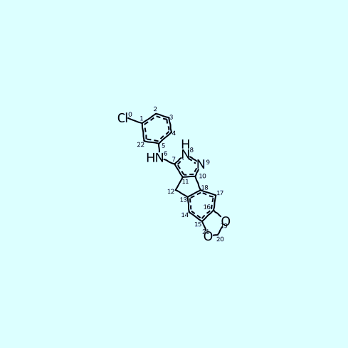 Clc1cccc(Nc2[nH]nc3c2Cc2cc4c(cc2-3)OCO4)c1